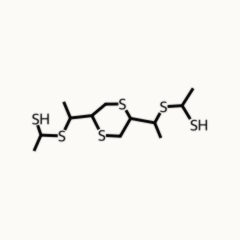 CC(S)SC(C)C1CSC(C(C)SC(C)S)CS1